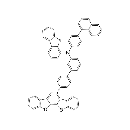 c1cc(-c2ccc(-c3cc4c5ccccc5oc4c4sc5ccccc5c34)cc2)cc(N(c2ccc(-c3cccc4ccccc34)cc2)c2cccc3c2sc2ccccc23)c1